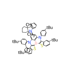 CC(C)(C)c1ccc(N2c3cc(N4c5ccccc5C5(C)CCCCC45C)cc4c3B(c3sc5ccc(C(C)(C)C)cc5c32)c2sc3ccc(C(C)(C)C)cc3c2N4c2ccc(C(C)(C)C)cc2-c2ccccc2)cc1